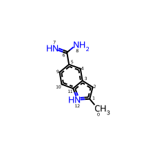 Cc1cc2cc(C(=N)N)ccc2[nH]1